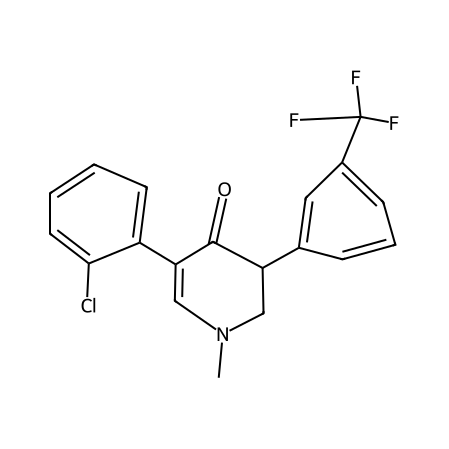 CN1C=C(c2ccccc2Cl)C(=O)C(c2cccc(C(F)(F)F)c2)C1